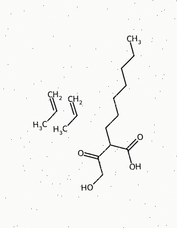 C=CC.C=CC.CCCCCCCC(C(=O)O)C(=O)CO